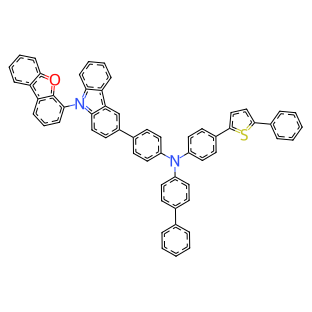 c1ccc(-c2ccc(N(c3ccc(-c4ccc5c(c4)c4ccccc4n5-c4cccc5c4oc4ccccc45)cc3)c3ccc(-c4ccc(-c5ccccc5)s4)cc3)cc2)cc1